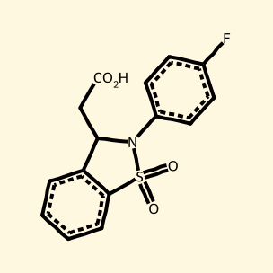 O=C(O)CC1c2ccccc2S(=O)(=O)N1c1ccc(F)cc1